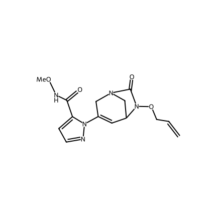 C=CCON1C(=O)N2CC(n3nccc3C(=O)NOC)=CC1C2